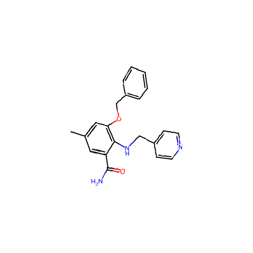 Cc1cc(OCc2ccccc2)c(NCc2ccncc2)c(C(N)=O)c1